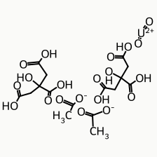 CC(=O)[O-].CC(=O)[O-].O=C(O)CC(O)(CC(=O)O)C(=O)O.O=C(O)CC(O)(CC(=O)O)C(=O)O.[O]=[U+2]=[O]